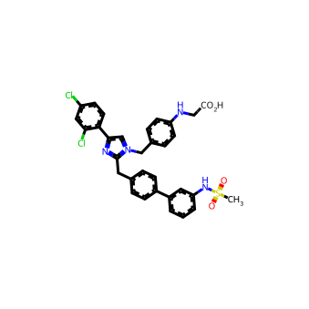 CS(=O)(=O)Nc1cccc(-c2ccc(Cc3nc(-c4ccc(Cl)cc4Cl)cn3Cc3ccc(NCC(=O)O)cc3)cc2)c1